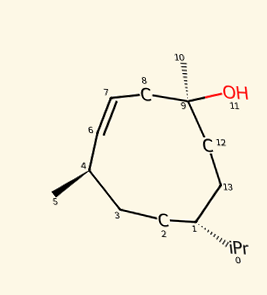 CC(C)[C@@H]1CC[C@@H](C)/C=C\C[C@@](C)(O)CC1